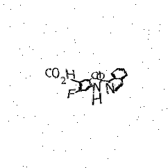 O=C(O)Cc1cc(Cl)c(NC(=O)c2nccc3ccccc23)cc1F